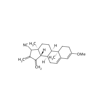 C=C1C(=C)[C@H]2[C@@H]3CC=C4C=C(OC)CC[C@]4(C)[C@@H]3CC[C@]2(C)C1C#N